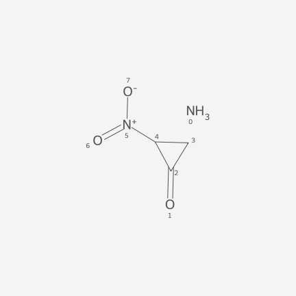 N.O=C1CC1[N+](=O)[O-]